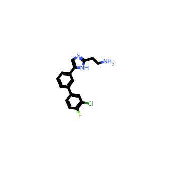 NCCc1ncc(-c2cccc(-c3ccc(F)c(Cl)c3)c2)[nH]1